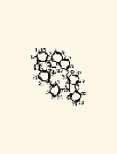 O=P1(c2cccc3ccccc23)c2ccccc2Oc2ccc(-c3cccc(-n4c5ccccc5c5ccccc54)c3)cc21